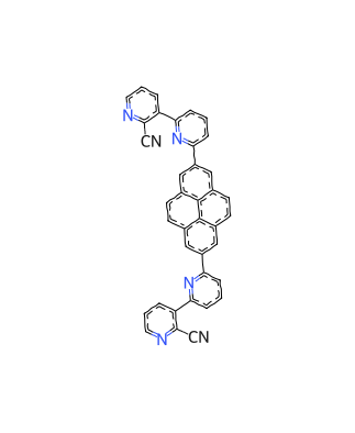 N#Cc1ncccc1-c1cccc(-c2cc3ccc4cc(-c5cccc(-c6cccnc6C#N)n5)cc5ccc(c2)c3c45)n1